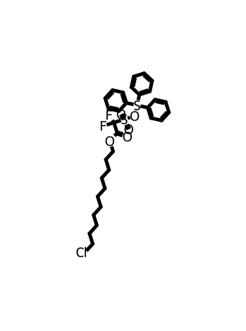 O=C(OCCCCCCCCCCCCl)C(F)(F)S(=O)(=O)OS(c1ccccc1)(c1ccccc1)c1ccccc1